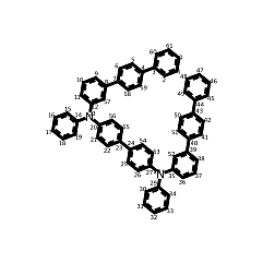 c1ccc(-c2ccc(-c3cccc(N(c4ccccc4)c4ccc(-c5ccc(N(c6ccccc6)c6cccc(-c7ccc(-c8ccccc8)cc7)c6)cc5)cc4)c3)cc2)cc1